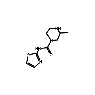 CC1CN(C(=O)Nc2nccs2)CCN1